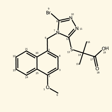 COc1ccc(Cn2c(Br)nnc2SC(C)(C)C(=O)O)c2ccccc12